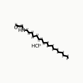 CCCCCCCCCCCCCCCCCCNCC1CO1.Cl